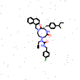 C#CCN(C(=O)NCc1ccc(F)cc1)N1CCN(Cc2cccc3ccccc23)C(=O)[C@H](Cc2ccc(C(C)CC)cc2)NC(=O)C1